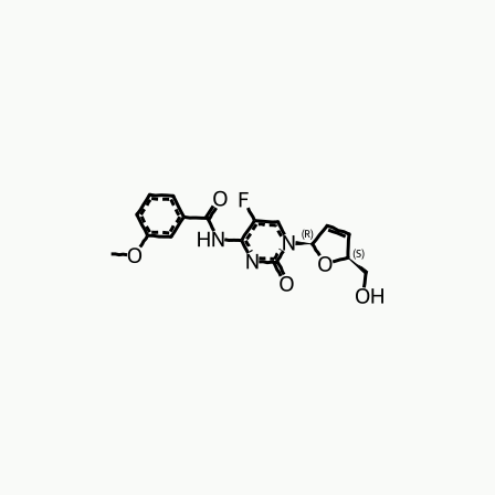 COc1cccc(C(=O)Nc2nc(=O)n([C@H]3C=C[C@@H](CO)O3)cc2F)c1